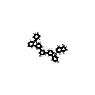 c1ccc(-n2c3ccccc3c3cc(-c4cccc(-c5ccc6c(c5)c5ccccc5n6-c5ccc6ccccc6c5)c4)ccc32)cc1